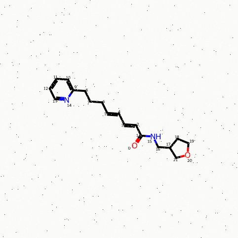 O=C(/C=C/C=C/CCCc1ccccn1)NCC1CCOC1